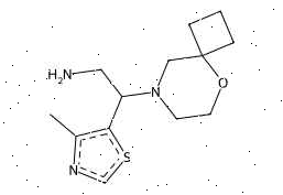 Cc1ncsc1C(CN)N1CCOC2(CCC2)C1